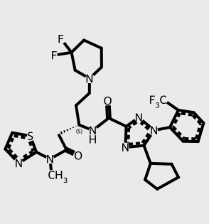 CN(C(=O)C[C@H](CCN1CCCC(F)(F)C1)NC(=O)c1nc(C2CCCC2)n(-c2ccccc2C(F)(F)F)n1)c1nccs1